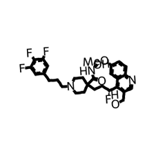 COc1ccc2ncc(CO)c([C@H](F)CCC3(C(=O)NO)CCN(CCCc4cc(F)c(F)c(F)c4)CC3)c2c1